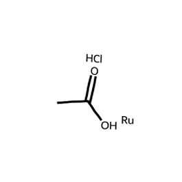 CC(=O)O.Cl.[Ru]